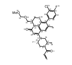 C=CC(=O)N1C[C@H](C)N(c2nc(=O)n3c4c(c(-c5ccc(F)c(Cl)c5)c(C)cc24)SC[C@@H]3COCOC)C[C@H]1C